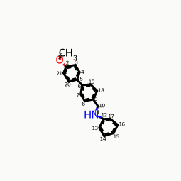 COc1ccc(-c2ccc(CNc3ccccc3)cc2)cc1